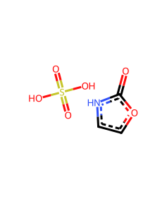 O=S(=O)(O)O.O=c1[nH]cco1